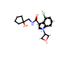 O=C(NCC1(O)CCCC1)c1cn(C2COC2)c2cccc(Cl)c12